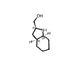 OC[C@@H]1C[C@@H]2CCCC[C@@H]2N1